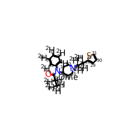 [2H]c1c([2H])c([2H])c(N(C(=O)C([2H])([2H])C([2H])([2H])[2H])C2(OC)CCN(C([2H])([2H])C([2H])([2H])c3cccs3)CC2)c([2H])c1[2H]